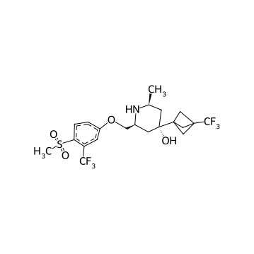 C[C@H]1C[C@@](O)(C23CC(C(F)(F)F)(C2)C3)C[C@@H](COc2ccc(S(C)(=O)=O)c(C(F)(F)F)c2)N1